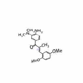 COc1ccc(OC)c(/C=C(\C)C(=O)c2ccc(N)c(N(C)C)c2)c1